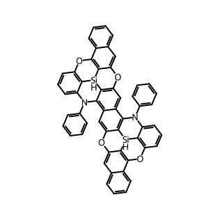 c1ccc(N2c3cccc4c3[SiH]3c5c(cc6ccccc6c5O4)Oc4cc5c6c7c(cc5c2c43)Oc2cc3ccccc3c3c2[SiH]7c2c(cccc2N6c2ccccc2)O3)cc1